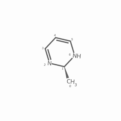 C[C@H]1N=CC=CN1